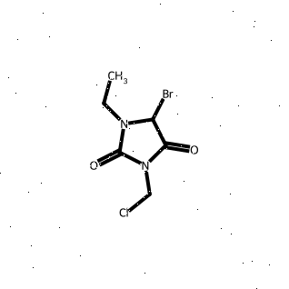 CCN1C(=O)N(CCl)C(=O)C1Br